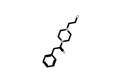 O=C(Cc1ccccc1)N1CCN(CCCl)CC1